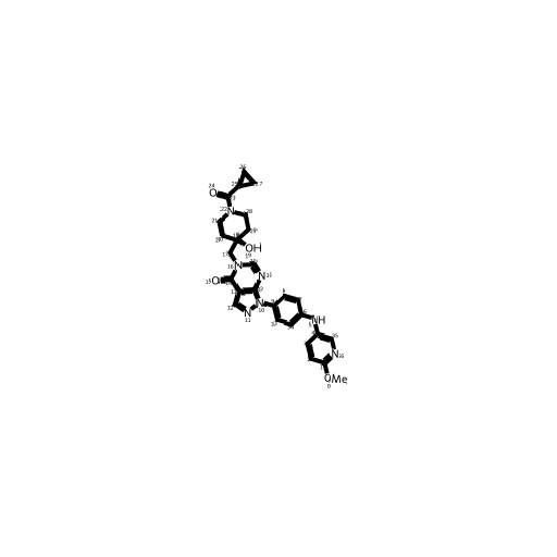 COc1ccc(Nc2ccc(-n3ncc4c(=O)n(CC5(O)CCN(C(=O)C6CC6)CC5)cnc43)cc2)cn1